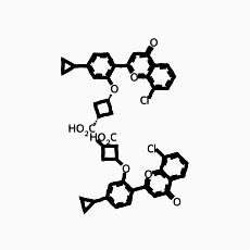 O=C(O)C1CC(Oc2cc(C3CC3)ccc2-c2cc(=O)c3cccc(Cl)c3o2)C1.O=c1cc(-c2ccc(C3CC3)cc2O[C@H]2C[C@@H](C(=O)O)C2)oc2c(Cl)cccc12